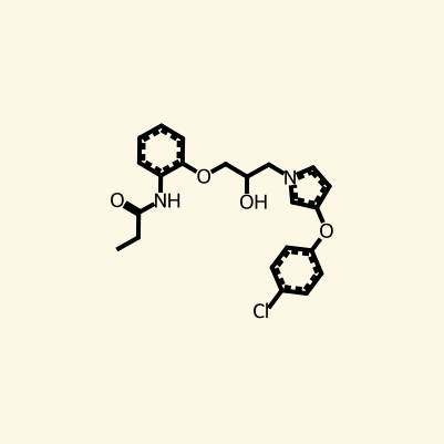 CCC(=O)Nc1ccccc1OCC(O)Cn1ccc(Oc2ccc(Cl)cc2)c1